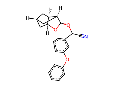 N#C[C](O[C@H]1O[C@H]2C[C@H]3C[C@H]1[C@@H]2C3)c1cccc(Oc2ccccc2)c1